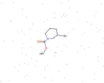 CCCOC(=O)N1CCCC(CC)C1